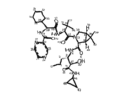 CCC[C@H](NC(=O)C1[C@@H]2[C@H](CN1C(=O)[C@@H](NC(=O)[C@@H](NC(=O)c1cnccn1)C1CCCCC1)C(C)(C)C)C2(C)C)C(O)C(=O)NC1CC1